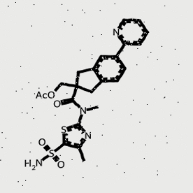 CC(=O)OCC1(C(=O)N(C)c2nc(C)c(S(N)(=O)=O)s2)Cc2ccc(-c3ccccn3)cc2C1